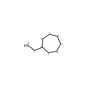 SCC1CCCCCC1